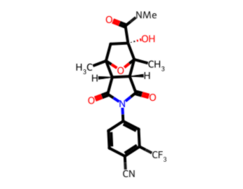 CNC(=O)[C@]1(O)CC2(C)OC1(C)[C@@H]1C(=O)N(c3ccc(C#N)c(C(F)(F)F)c3)C(=O)[C@@H]12